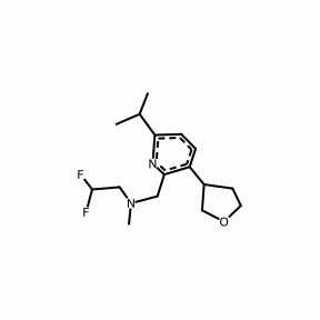 CC(C)c1ccc(C2CCOC2)c(CN(C)CC(F)F)n1